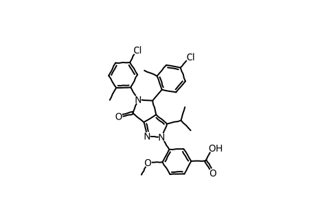 COc1ccc(C(=O)O)cc1-n1nc2c(c1C(C)C)C(c1ccc(Cl)cc1C)N(c1cc(Cl)ccc1C)C2=O